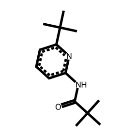 CC(C)(C)C(=O)Nc1cccc(C(C)(C)C)n1